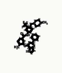 Cc1ccc(C(=O)Nc2ccc(CN3CCN(C)CC3)c(C(F)(F)F)c2)cc1Oc1nc(-c2cccnc2)nc2cc[nH]c12